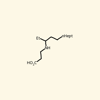 CCCCCCCCCC(CC)NCCC(=O)O